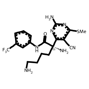 CSc1nc(N)nc([C@@](N)(CCCCN)C(=O)Nc2cccc(C(F)(F)F)c2)c1C#N